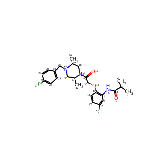 CC(C)C(=O)Nc1cc(Cl)ccc1OCC(=O)N1C[C@@H](C)N(Cc2ccc(F)cc2)C[C@@H]1C